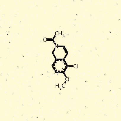 COc1ccc2c(c1Cl)C=CN(C(C)=O)C2